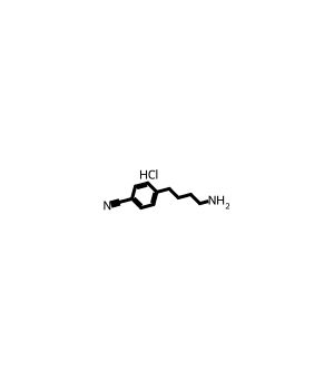 Cl.N#Cc1ccc(CCCCN)cc1